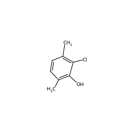 [CH2]c1ccc(C)c(Cl)c1O